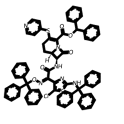 O=C(OC(c1ccccc1)c1ccccc1)C1=C(Sc2ccncc2)CC[C@@H]2[C@H](NC(=O)/C(=N\OC(c3ccccc3)(c3ccccc3)c3ccccc3)c3nc(NC(c4ccccc4)(c4ccccc4)c4ccccc4)sc3Cl)C(=O)N12